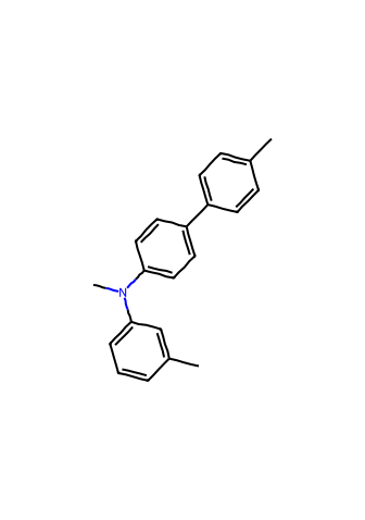 Cc1ccc(-c2ccc(N(C)c3cccc(C)c3)cc2)cc1